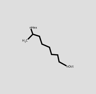 [CH2]CCCCCCCCCCCCCC(C)CCCCC[CH2]